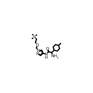 CC1CCC(C(N)C(=O)Nc2cnn(COCC[Si](C)(C)C)c2)CC1